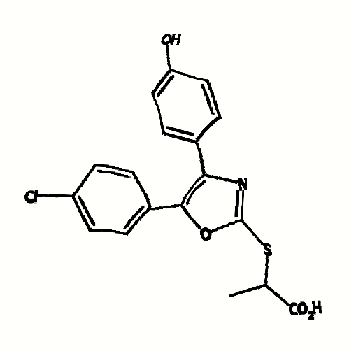 CC(Sc1nc(-c2ccc(O)cc2)c(-c2ccc(Cl)cc2)o1)C(=O)O